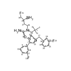 CC(C)(C)C(c1nc(-c2cccc(F)c2)cn1Cc1cccc(F)c1)N(CCC(N)CF)C(N)=O